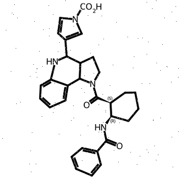 O=C(N[C@@H]1CCCC[C@@H]1C(=O)N1CCC2C(c3ccn(C(=O)O)c3)Nc3ccccc3C21)c1ccccc1